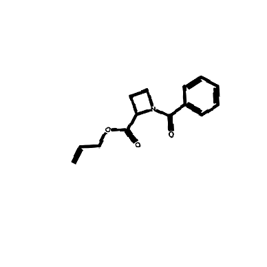 C=CCOC(=O)C1CCN1C(=O)c1ccccc1